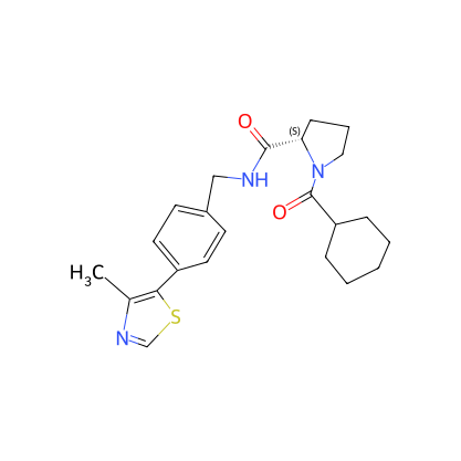 Cc1ncsc1-c1ccc(CNC(=O)[C@@H]2CCCN2C(=O)C2CCCCC2)cc1